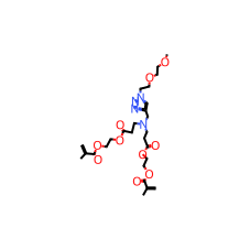 C=C(C)C(=O)OCCOC(=O)CCN(CCC(=O)OCCOC(=O)C(=C)C)Cc1cn(CCOCCOC)nn1